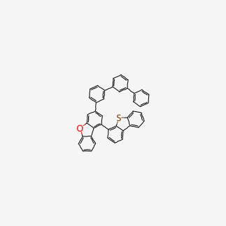 c1ccc(-c2cccc(-c3cccc(-c4cc(-c5cccc6c5sc5ccccc56)c5c(c4)oc4ccccc45)c3)c2)cc1